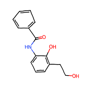 O=C(Nc1cccc(CCO)c1O)c1ccccc1